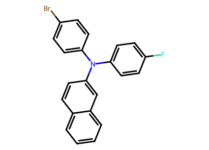 Fc1ccc(N(c2ccc(Br)cc2)c2ccc3ccccc3c2)cc1